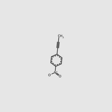 CC#Cc1ccc([N+](=O)[O-])cc1